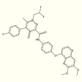 COc1cc2nccc(Oc3ccc(NC(=O)c4nn(CC(F)F)c(C)c(-c5ccc(F)cc5)c4=O)cc3)c2nc1OC